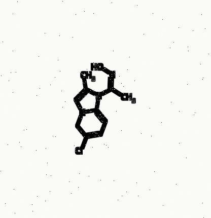 CC1=CN2CC(Cl)=CC=C2N1/C(C)=N\O